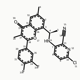 Cc1cc([C@@H](C)Nc2ccc(Cl)nc2C#N)c2oc(-c3ccc(F)c(F)c3)c(C)c(=O)c2c1